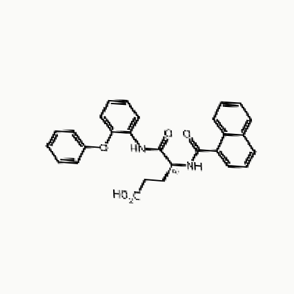 O=C(O)CC[C@H](NC(=O)c1cccc2ccccc12)C(=O)Nc1ccccc1Oc1ccccc1